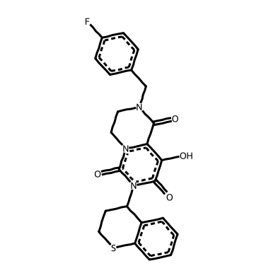 O=C1c2c(O)c(=O)n(C3CCSc4ccccc43)c(=O)n2CCN1Cc1ccc(F)cc1